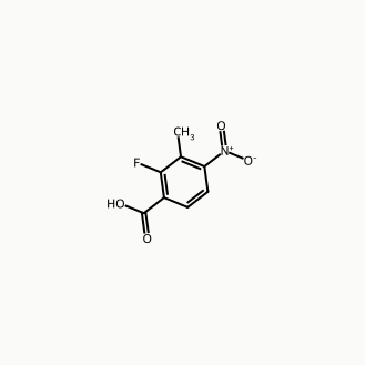 Cc1c([N+](=O)[O-])ccc(C(=O)O)c1F